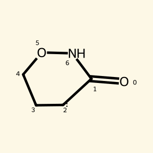 O=C1[C]CCON1